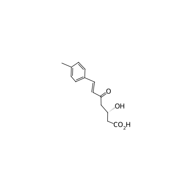 Cc1ccc(C=CC(=O)C[C@H](O)CC(=O)O)cc1